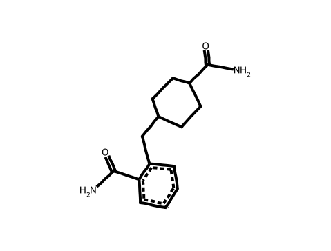 NC(=O)c1c[c]ccc1CC1CCC(C(N)=O)CC1